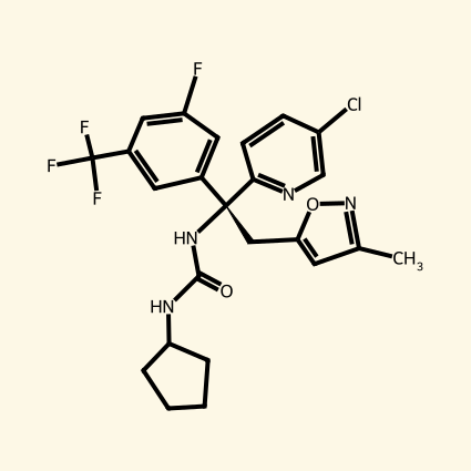 Cc1cc(C[C@@](NC(=O)NC2CCCC2)(c2cc(F)cc(C(F)(F)F)c2)c2ccc(Cl)cn2)on1